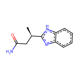 C[C@H](CC(N)=O)c1nc2ccccc2[nH]1